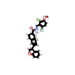 COc1ccc(Cl)c(CNC(=O)c2ccc3c(c2)C2C=C(c4coc5ccccc45)C3C2)c1F